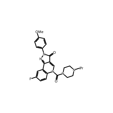 COc1ccc(-n2nc3c4cc(F)ccc4n(C(=O)N4CCN(C(C)C)CC4)cc-3c2=O)cc1